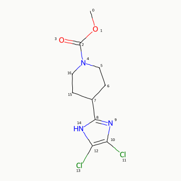 COC(=O)N1CCC(c2nc(Cl)c(Cl)[nH]2)CC1